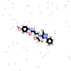 COc1ccc(NC(=O)CCCN2C(=O)CSc3c2c(C)nn3-c2ccccc2)cc1